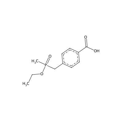 CCOP(C)(=O)Cc1ccc(C(=O)O)cc1